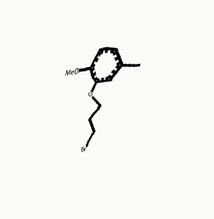 COc1ccc(C)cc1OCCCBr